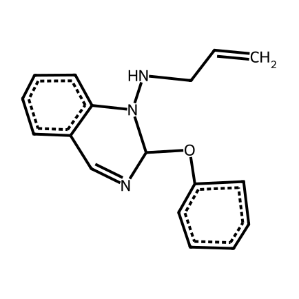 C=CCNN1c2ccccc2C=NC1Oc1ccccc1